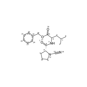 CC(C)CC(NC(=O)[C@H]1CCCN1C#N)C(=O)OCc1ccccc1